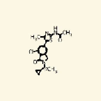 CC(=O)Nc1nc(C)c(-c2cc(Cl)c3c(c2)CN([C@@H](C)C2CC2)C3=O)s1